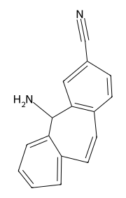 N#Cc1ccc2c(c1)C(N)c1ccccc1C=C2